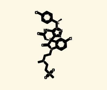 C[C@@H](c1ccc(Cl)cc1)n1nnc2c1NC(=O)C[C@]21C(=O)N(CCN(C)CCS(C)(=O)=O)c2ccc(Cl)cc21